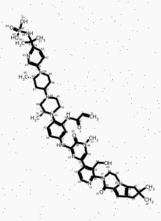 C=CC(=O)Nc1cc(Nc2nc(-c3ccnc(N4CCn5c(cc6c5CC(C)(C)C6)C4=O)c3CO)cn(C)c2=O)ccc1N1CCN(C2CCN(c3ccc(C(C)(C)NP(=O)(O)O)nc3)[C@@H](C)C2)C[C@@H]1C